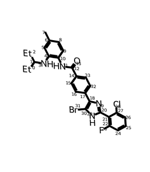 CCC(CC)Nc1cc(C)ccc1NC(=O)c1ccc(-c2nc(-c3c(F)cccc3Cl)[nH]c2Br)cc1